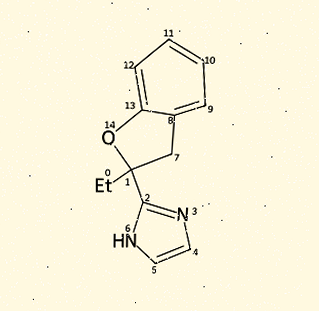 CCC1(c2ncc[nH]2)Cc2ccccc2O1